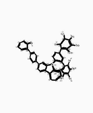 [2H]c1c([2H])c([2H])c(-c2ccc(-n3c4ccccc4c4ccc(-c5ccc(-c6ccccc6Br)cc5)cc43)c(-c3c([2H])c([2H])c([2H])c([2H])c3[2H])c2)c([2H])c1[2H]